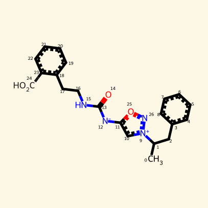 CC(Cc1ccccc1)[n+]1cc([N-]C(=O)NCCc2ccccc2C(=O)O)on1